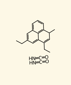 CCC1=CC(C)c2cccc3cc(CC)cc1c23.N=C=O.N=C=O